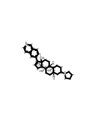 CC12CC[C@H]3[C@@H](CC[C@H]4CC(N5CCCC5)CC[C@@H]43)[C@@H]1CC=C2c1ccc2cnccc2c1